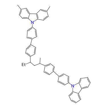 CCC(CC(C)c1ccc(-c2ccc(-n3c4ccccc4c4ccccc43)cc2)cc1)c1ccc(-c2ccc(-n3c4ccc(C)cc4c4cc(C)ccc43)cc2)cc1